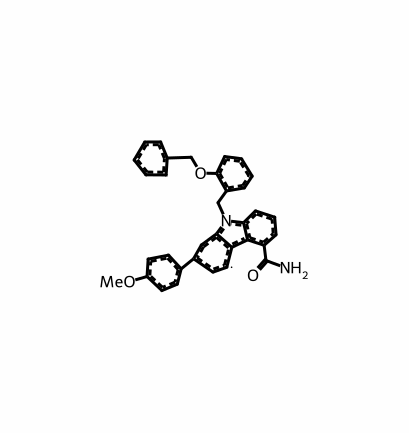 COc1ccc(-c2c[c]c3c4c(C(N)=O)cccc4n(Cc4ccccc4OCc4ccccc4)c3c2)cc1